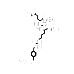 CC(C)(C)OC(=O)CCC(NC(=O)NC(CCCCNC(=O)NCc1ccc(CC(=O)O)cc1)C(=O)OC(C)(C)C)C(=O)OC(C)(C)C